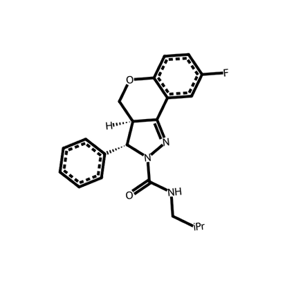 CC(C)CNC(=O)N1N=C2c3cc(F)ccc3OC[C@@H]2[C@H]1c1ccccc1